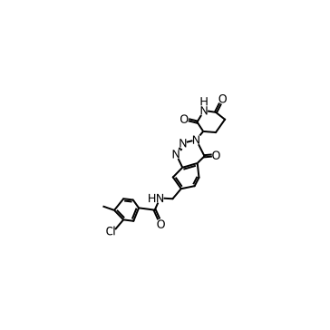 Cc1ccc(C(=O)NCc2ccc3c(=O)n(C4CCC(=O)NC4=O)nnc3c2)cc1Cl